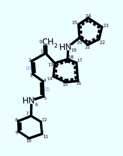 C=C(/C=C\C=C/NC1C=CCCC1)c1ccccc1Nc1ccccc1